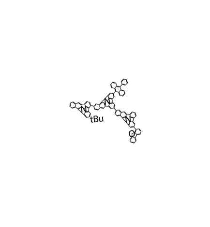 CC(C)(C)c1cc2c3c(-c4ccc5cc6c7cc(-c8ccc9c(c8)cc8c%10cccc%11c%12cc(-c%13cccc%14c%13oc%13ccccc%13%14)cc%13c9c8n(c%11%10)c%12%13)cc8c9cc(-c%10c%11ccccc%11c(-c%11ccccc%11)c%11ccccc%10%11)cc%10c(c5c4)c6n(c87)c9%10)ccc4c5cc6ccccc6c6c(c1)c2n(c43)c56